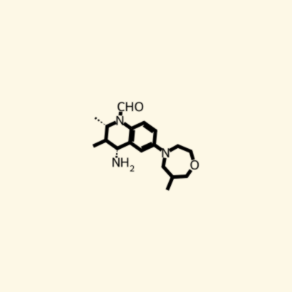 CC1COCCN(c2ccc3c(c2)[C@H](N)C(C)[C@H](C)N3C=O)C1